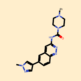 CC(C)N1CCN(C(=O)Nc2cc3cc(-c4cnn(C)c4)ccc3nn2)CC1